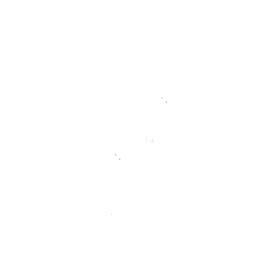 BrC1(NCc2ccco2)CCCc2c1[nH]c1ccccc21